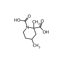 CC1CCN(C(=O)O)C(C)(C(=O)O)C1